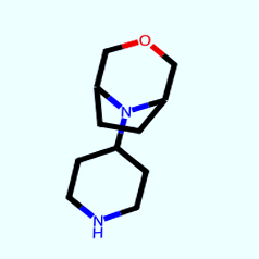 C1CC(N2C3CCC2COC3)CCN1